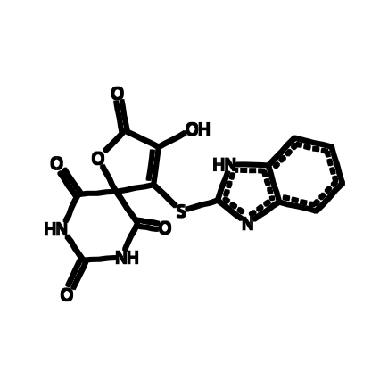 O=C1NC(=O)C2(OC(=O)C(O)=C2Sc2nc3ccccc3[nH]2)C(=O)N1